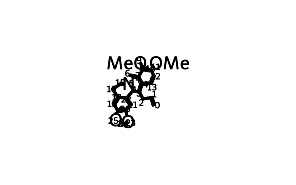 C=CCc1c2[n+](cc3c(OC)c(OC)ccc13)CCc1cc3c(cc1-2)OCO3